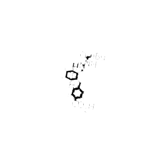 CCCCC(=O)NNC[C@H]1[C@@H](Cc2ccc(C(=O)O)cc2)[C@H]2CC[C@@H]1O2